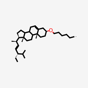 [CH2]CCCCCO[C@H]1CC[C@@]2(C)C(=CCC3C2CC[C@@]2(C)C3CC[C@@H]2[C@H](C)C=C[C@@H](CC)C(C)C)C1